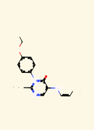 C/C=C\Nc1cnc(SC)n(-c2ccc(OCC(F)(F)F)cc2)c1=O